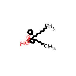 CCCCCCCCCc1c(CCCCCC)ccc(O)c1Oc1ccccc1